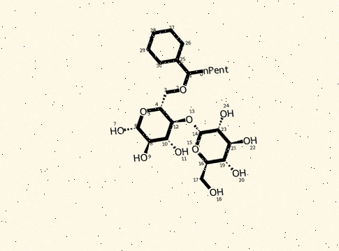 CCCCCC(OC[C@H]1O[C@@H](O)[C@H](O)[C@@H](O)[C@@H]1O[C@H]1O[C@H](CO)[C@@H](O)[C@H](O)[C@H]1O)C1CCCCC1